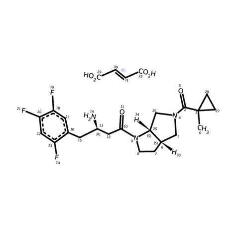 CC1(C(=O)N2C[C@@H]3CCN(C(=O)C[C@H](N)Cc4cc(F)c(F)cc4F)[C@@H]3C2)CC1.O=C(O)/C=C/C(=O)O